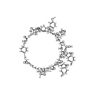 COc1ccc(C[C@@H]2NC(=O)[C@H](Cc3cnc[nH]3)NC(=O)C(CC(=O)O)NC(=O)[C@H](Cc3c[nH]c4ccc(F)cc34)NC(=O)[C@H](Cc3c[nH]c4ccc(F)cc34)NC(=O)[C@@H](C)NC(=O)[C@H](NC(C)=O)CCCCNC(=O)Cc3ccc(cc3)CNC(=O)CC[C@@H](C(N)=O)NC(=O)[C@]3(C)CCCN3C2=O)cc1